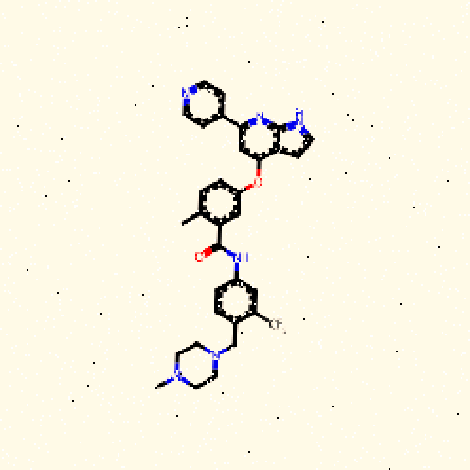 Cc1ccc(Oc2cc(-c3ccncc3)nc3[nH]ccc23)cc1C(=O)Nc1ccc(CN2CCN(C)CC2)c(C(F)(F)F)c1